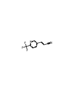 N#CC=Cc1ccc(C(F)(F)F)nc1